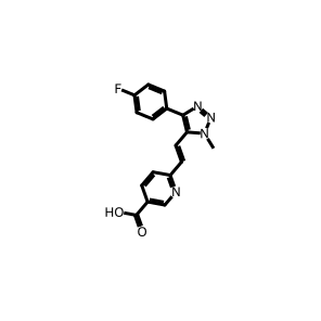 Cn1nnc(-c2ccc(F)cc2)c1C=Cc1ccc(C(=O)O)cn1